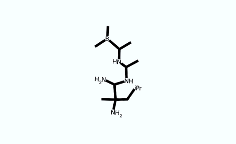 CB(C)C(C)NC(C)NC(N)C(C)(N)CC(C)C